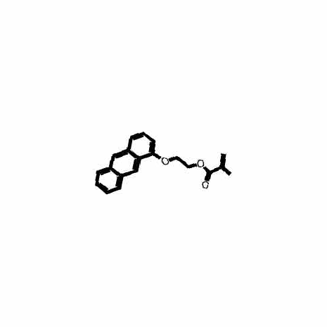 C=C(C)C(=O)OCCOc1cccc2cc3ccccc3cc12